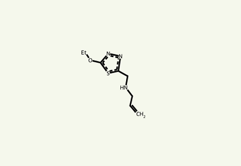 C=CCNCc1nnc(OCC)s1